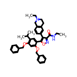 CCNC(=O)c1noc(-c2cc(C(C)C)c(OCc3ccccc3)cc2OCc2ccccc2)c1-c1ccc2c(c1)CCN(CC)C2